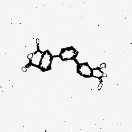 O=C1OC(=O)c2cc(-c3cccc(-c4ccc5c(c4)C(=O)OC5=O)c3)ccc21